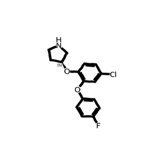 Fc1ccc(Oc2cc(Cl)ccc2O[C@H]2CCNC2)cc1